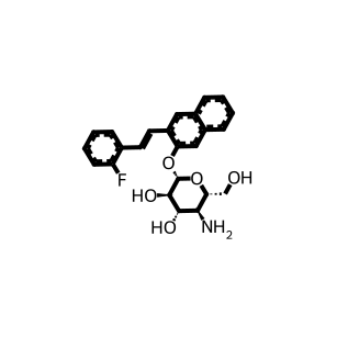 N[C@H]1[C@H](O)[C@@H](O)[C@H](Oc2cc3ccccc3cc2/C=C/c2ccccc2F)O[C@@H]1CO